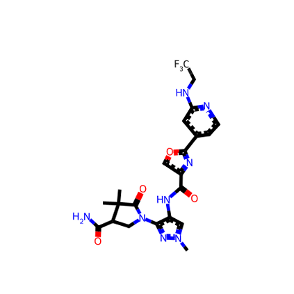 Cn1cc(NC(=O)c2coc(-c3ccnc(NCC(F)(F)F)c3)n2)c(N2CC(C(N)=O)C(C)(C)C2=O)n1